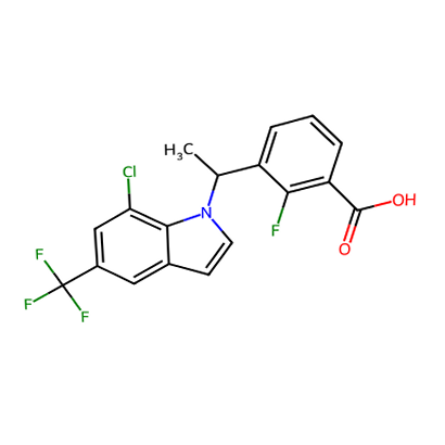 CC(c1cccc(C(=O)O)c1F)n1ccc2cc(C(F)(F)F)cc(Cl)c21